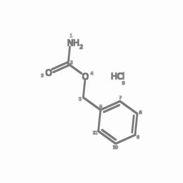 Cl.NC(=O)OCc1ccccc1